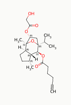 C#CCCCC(=O)O[C@H]1[C@@H]2[C@H](C)CC[C@H]2[C@]2(C)O[C@@]1(C(C)C)C[C@H]2OC(=O)CO